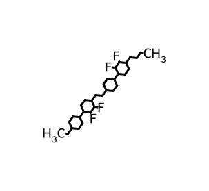 CCCCC1CCC(C2CCC(CCC3CCC(C4CCC(CC)CC4)C(F)C3F)CC2)C(F)C1F